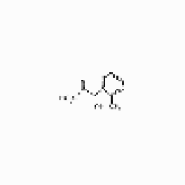 C=C(C(=O)O)C(O)c1ncccc1C(F)(F)F